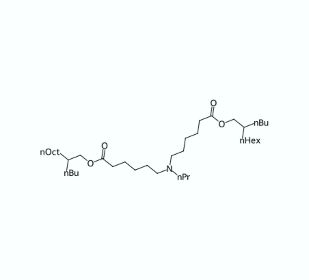 CCCCCCCCC(CCCC)COC(=O)CCCCCN(CCC)CCCCCC(=O)OCC(CCCC)CCCCCC